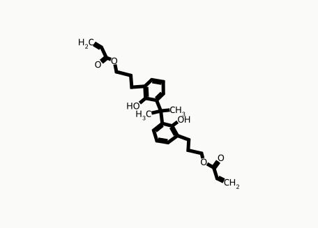 C=CC(=O)OCCCc1cccc(C(C)(C)c2cccc(CCCOC(=O)C=C)c2O)c1O